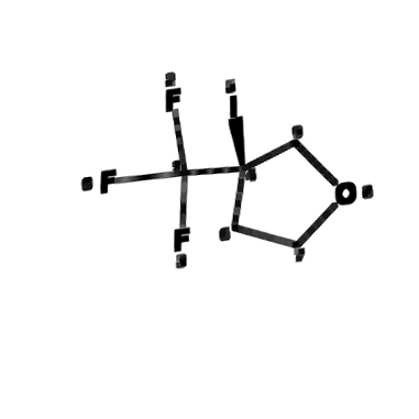 FC(F)(F)[C@@]1(I)CCOC1